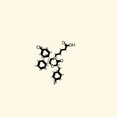 O=C(O)CCCCN1C(=O)[C@@H](Cc2ccc(F)cc2)O[C@H](c2ccccc2)[C@@H]1c1ccc(Cl)cc1